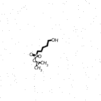 CN(C)OS(=O)(=O)CCCCCO